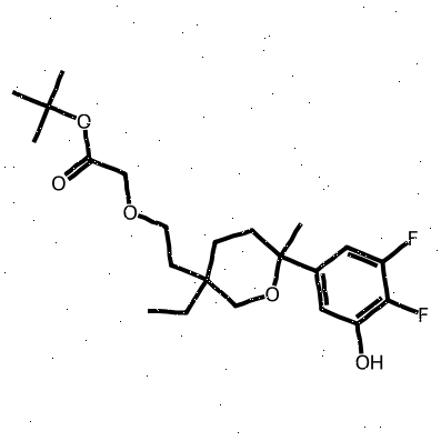 CCC1(CCOCC(=O)OC(C)(C)C)CCC(C)(c2cc(O)c(F)c(F)c2)OC1